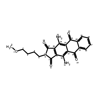 COCCCCn1c(=O)c2c(N)c3c(=O)c4ccccc4c(=O)c3c(N)c2c1=O